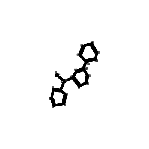 [O-][S+](c1ccccc1)c1cccc(-c2ccccc2)c1